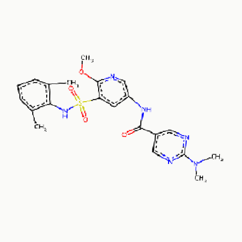 COc1ncc(NC(=O)c2cnc(N(C)C)nc2)cc1S(=O)(=O)Nc1c(C)cccc1C